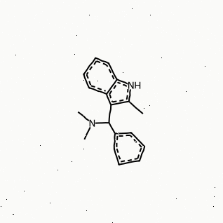 Cc1[nH]c2ccccc2c1C(c1ccccc1)N(C)C